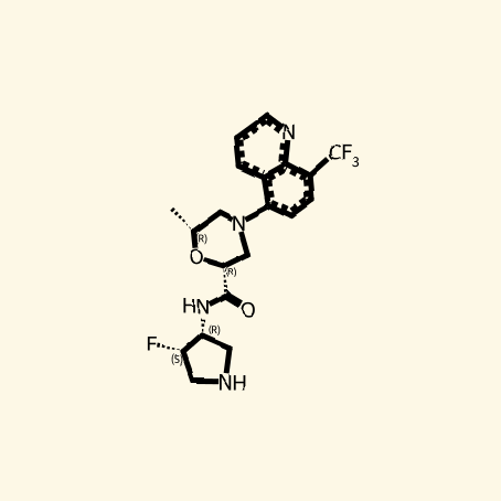 C[C@@H]1CN(c2ccc(C(F)(F)F)c3ncccc23)C[C@H](C(=O)N[C@@H]2CNC[C@@H]2F)O1